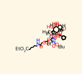 CCOC(=O)CCCCCNC(=O)COCC(=O)O[C@@H](C(=O)O[C@H]1C[C@@]2(O)[C@@H](OC(=O)c3ccccc3)[C@@H]3[C@@H]4CO[C@@H]4C[C@H](O)[C@@]3(C)C(=O)[C@H](O)C(=C1C)C2(C)C)C(CC)NC(=O)OC(C)(C)C